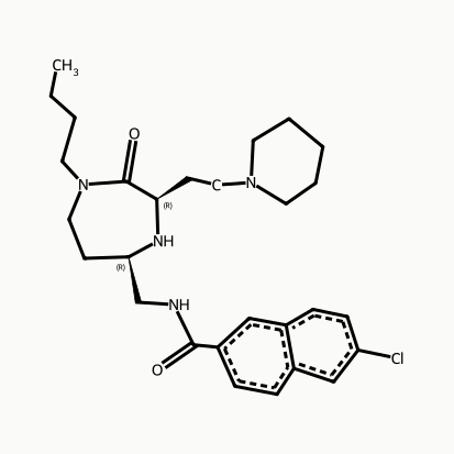 CCCCN1CC[C@H](CNC(=O)c2ccc3cc(Cl)ccc3c2)N[C@H](CCN2CCCCC2)C1=O